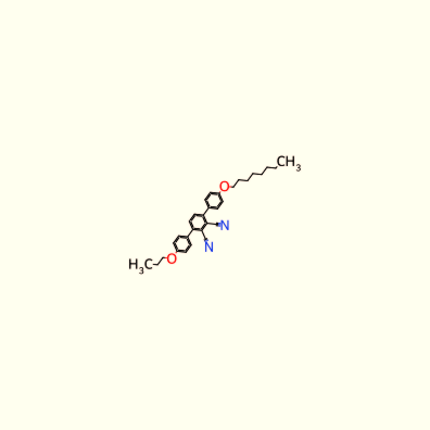 CCCCCCCCOc1ccc(-c2ccc(-c3ccc(OCCC)cc3)c(C#N)c2C#N)cc1